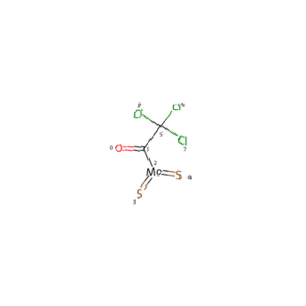 O=[C]([Mo](=[S])=[S])C(Cl)(Cl)Cl